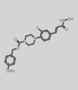 COc1ccc(COC(=O)N2CCN(c3ccc(/C=C/C(=O)NO)cc3F)CC2)cc1